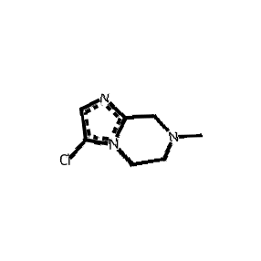 CN1CCn2c(Cl)cnc2C1